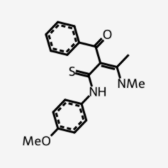 CNC(C)=C(C(=O)c1ccccc1)C(=S)Nc1ccc(OC)cc1